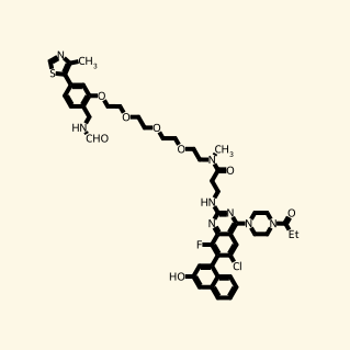 CCC(=O)N1CCN(c2nc(NCCC(=O)N(C)CCOCCOCCOCCOc3cc(-c4scnc4C)ccc3CNC=O)nc3c(F)c(-c4cc(O)cc5ccccc45)c(Cl)cc23)CC1